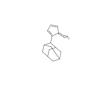 C=C1C=CC=C1C1C2CC3CC(C2)CC1C3